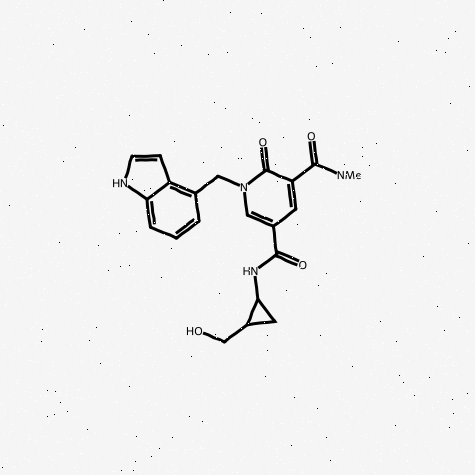 CNC(=O)c1cc(C(=O)NC2CC2CO)cn(Cc2cccc3[nH]ccc23)c1=O